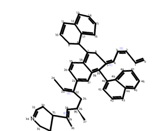 C=C/C=C\C=C1/CC(C2CC=Cc3ccccc32)=c2ccc(/C(=C\C)C[C@@H](C)/C=C(\C)C3CC=NCC3)cc2=C1c1cccc2ccccc12